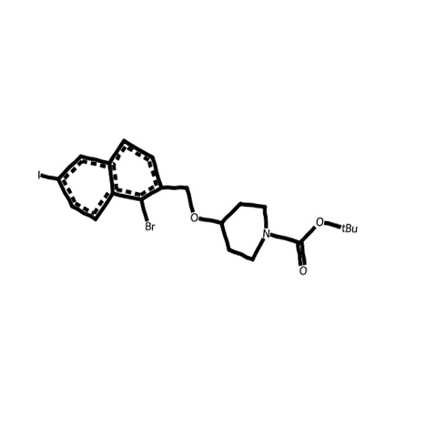 CC(C)(C)OC(=O)N1CCC(OCc2ccc3cc(I)ccc3c2Br)CC1